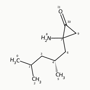 CC(C)C[C@@H](C)CC1(N)CC1=O